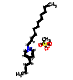 CCCCCCCCCCCC[n+]1ccc(CCCC)cc1.CS(=O)(=O)[O-]